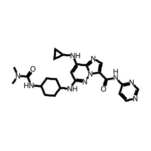 CN(C)C(=O)NC1CCC(Nc2cc(NC3CC3)c3ncc(C(=O)Nc4ccncn4)n3n2)CC1